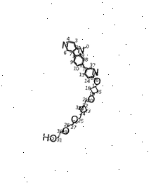 Cn1c2ccncc2c2ccc(-c3ccc(O[C@H]4C[C@H](OCC56CC(COCCOCCO)(C5)C6)C4)nc3)cc21